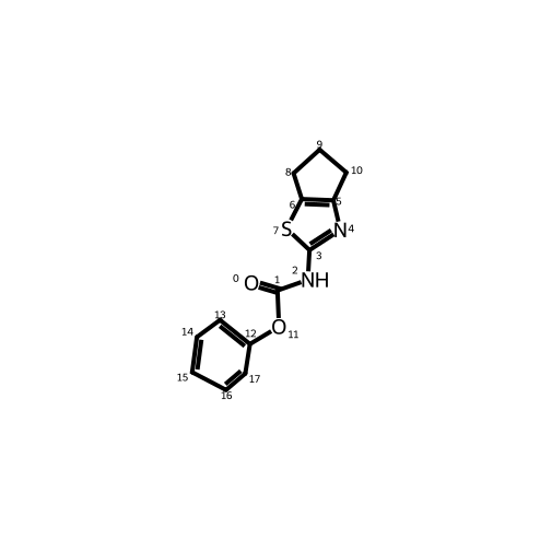 O=C(Nc1nc2c(s1)CCC2)Oc1ccccc1